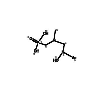 CC(=O)N(O)CC(C)CP(=O)(O)O